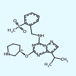 CC(C)c1cnn2c(NCc3ccccc3S(C)(=O)=O)nc(O[C@@H]3CCCNC3)nc12